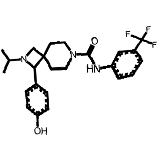 CC(C)N1CC2(CCN(C(=O)Nc3cccc(C(F)(F)F)c3)CC2)C1c1ccc(O)cc1